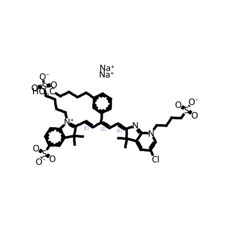 CC1(C)C2=CC(Cl)=CN(CCCCS(=O)(=O)[O-])C2=N/C1=C/C=C(/C=C/C1=[N+](CCCCS(=O)(=O)[O-])c2ccc(S(=O)(=O)[O-])cc2C1(C)C)c1cccc(CCCCC(=O)O)c1.[Na+].[Na+]